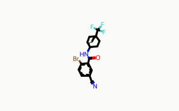 N#Cc1ccc(Br)c(C(=O)NC23CCC(C(F)(F)F)(CC2)CC3)c1